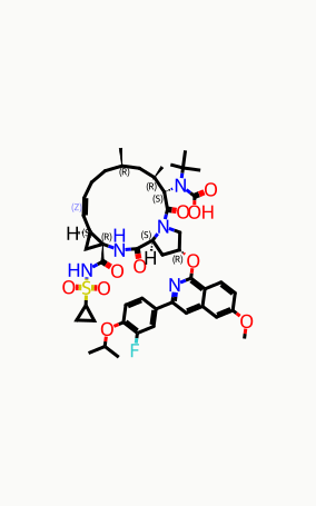 COc1ccc2c(O[C@@H]3C[C@H]4C(=O)N[C@]5(C(=O)NS(=O)(=O)C6CC6)C[C@H]5/C=C\CC[C@@H](C)C[C@@H](C)[C@H](N(C(=O)O)C(C)(C)C)C(=O)N4C3)nc(-c3ccc(OC(C)C)c(F)c3)cc2c1